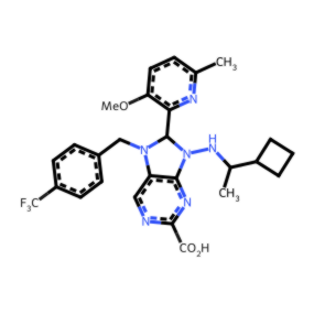 COc1ccc(C)nc1C1N(Cc2ccc(C(F)(F)F)cc2)c2cnc(C(=O)O)nc2N1NC(C)C1CCC1